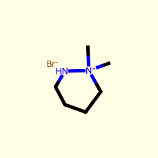 C[N+]1(C)CCCCN1.[Br-]